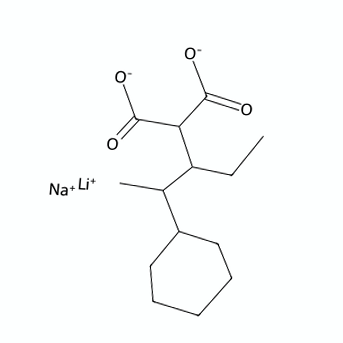 CCC(C(C(=O)[O-])C(=O)[O-])C(C)C1CCCCC1.[Li+].[Na+]